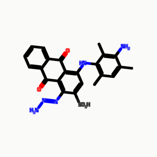 Cc1cc(C)c(Nc2cc(S(=O)(=O)O)c(N=NN)c3c2C(=O)c2ccccc2C3=O)c(C)c1N